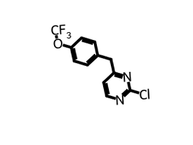 FC(F)(F)Oc1ccc(Cc2ccnc(Cl)n2)cc1